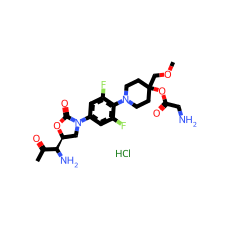 COCC1(OC(=O)CN)CCN(c2c(F)cc(N3C[C@@H](C(N)C(C)=O)OC3=O)cc2F)CC1.Cl